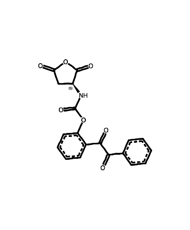 O=C1C[C@H](NC(=O)Oc2ccccc2C(=O)C(=O)c2ccccc2)C(=O)O1